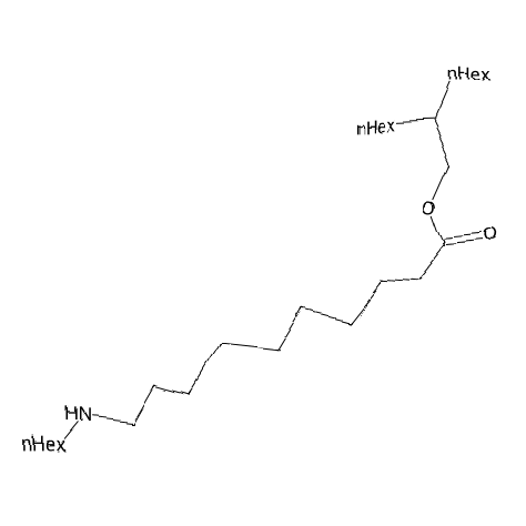 CCCCCCNCCCCCCCCCC(=O)OCC(CCCCCC)CCCCCC